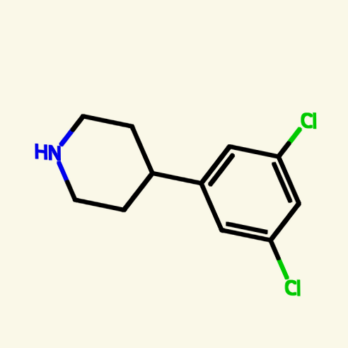 Clc1cc(Cl)cc(C2CCNCC2)c1